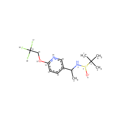 CC(N[S+]([O-])C(C)(C)C)c1ccc(OCC(F)(F)F)nc1